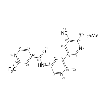 CSOc1ncc(-c2cc(NC(=O)c3ccnc(C(F)(F)F)c3)cnc2C)cc1C#N